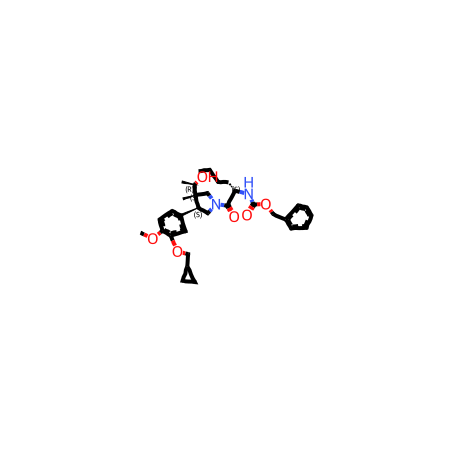 CCCC[C@H](NC(=O)OCc1ccccc1)C(=O)N1C[C@@H](c2ccc(OC)c(OCC3CC3)c2)[C@](C)([C@@H](C)O)C1